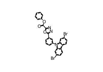 O=C(Oc1ccccc1)c1nnc(-c2cccc(-n3c4cc(Br)ccc4c4ccc(Br)cc43)c2)o1